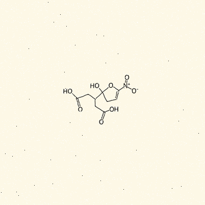 O=C(O)CC(CC(=O)O)C1(O)CC=C([N+](=O)[O-])O1